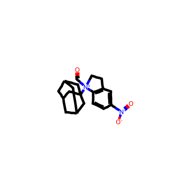 O=C[N+]1(C23CC4CC(CC(C4)C2)C3)CCc2cc([N+](=O)[O-])ccc21